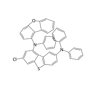 Clc1cc(N(c2ccccc2)c2cccc3oc4ccccc4c23)c2c(c1)sc1ccc(N(c3ccccc3)c3ccccc3)cc12